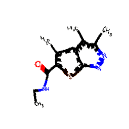 CCNC(=O)c1sc2nnc(C)c(C)c2c1C